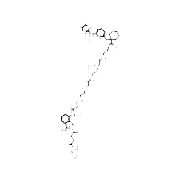 CC(CCC(=O)NC=O)N1Cc2c(NC(=O)CCOCCOCCOCCNCCOCCNC(=O)C3(Cc4cccc(Nc5nccs5)n4)CCCCC3)cccc2C1=O